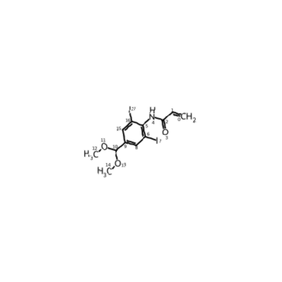 C=CC(=O)Nc1c(I)cc(C(OC)OC)cc1I